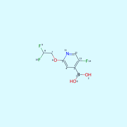 OB(O)c1cc(OCC(F)F)ncc1F